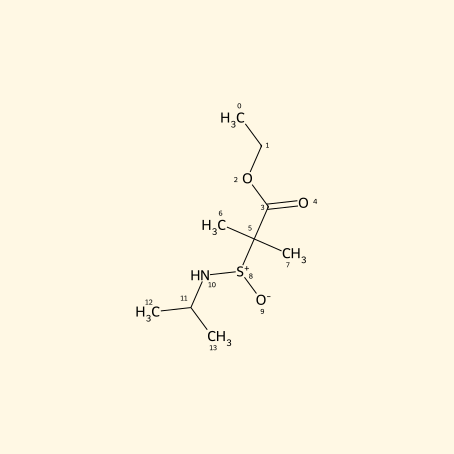 CCOC(=O)C(C)(C)[S+]([O-])NC(C)C